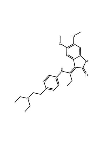 CCC(Nc1ccc(CCN(CC)CC)cc1)=C1C(=O)Nc2cc(OC)c(OC)cc21